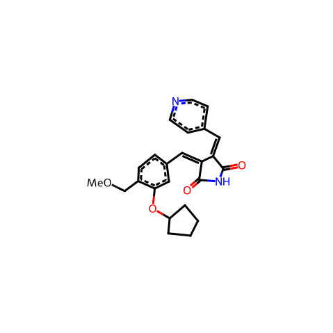 COCc1ccc(/C=C2\C(=O)NC(=O)\C2=C\c2ccncc2)cc1OC1CCCC1